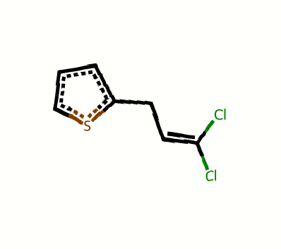 ClC(Cl)=CCc1cccs1